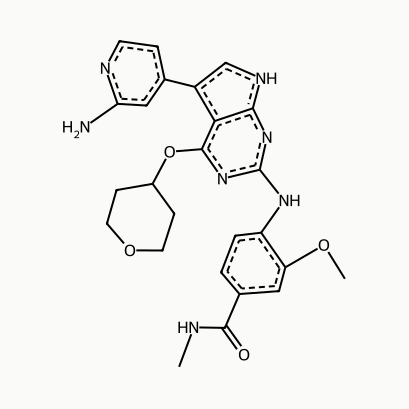 CNC(=O)c1ccc(Nc2nc(OC3CCOCC3)c3c(-c4ccnc(N)c4)c[nH]c3n2)c(OC)c1